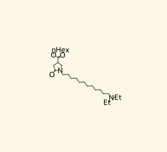 CCCCCCOC(=O)C1CC(=O)N(CCCCCCCCCCCCN(CC)CC)C1